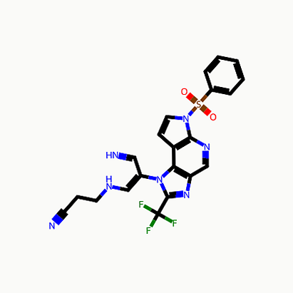 N#CCCN/C=C(\C=N)n1c(C(F)(F)F)nc2cnc3c(ccn3S(=O)(=O)c3ccccc3)c21